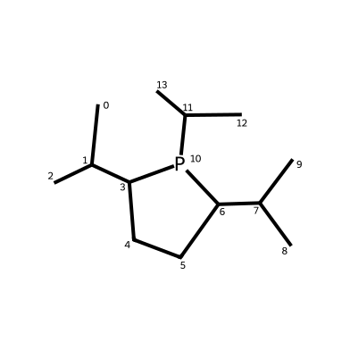 CC(C)C1CCC(C(C)C)P1C(C)C